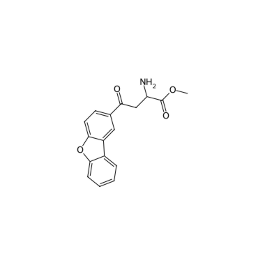 COC(=O)C(N)CC(=O)c1ccc2oc3ccccc3c2c1